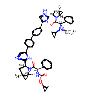 O=C(N[C@@H](C(=O)N1[C@@H]2C[C@H]2C[C@H]1c1ncc(-c2ccc(-c3ccc(-c4c[nH]c([C@@H]5C[C@H]6C[C@H]6N5C(=O)[C@@H](c5ccccc5)N(C(=O)O)C5CC5)n4)cc3)cc2)[nH]1)c1ccccc1)OC1CC1